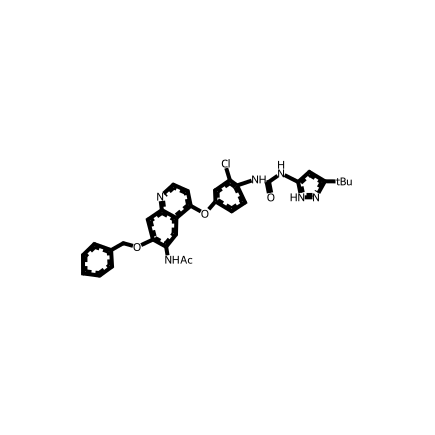 CC(=O)Nc1cc2c(Oc3ccc(NC(=O)Nc4cc(C(C)(C)C)n[nH]4)c(Cl)c3)ccnc2cc1OCc1ccccc1